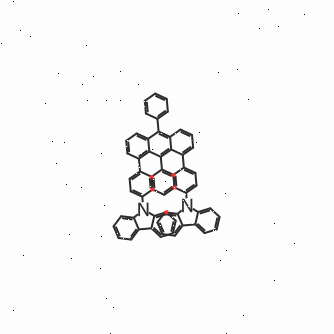 c1ccc(-c2c3cccc(-c4ccc(-n5c6ccccc6c6ccccc65)cc4)c3c(-c3ccccc3)c3c(-c4ccc(-n5c6ccccc6c6ccccc65)cc4)cccc23)cc1